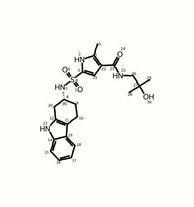 Cc1[nH]c(S(=O)(=O)N[C@@H]2CCc3c([nH]c4ccccc34)C2)cc1C(=O)NCC(C)(C)O